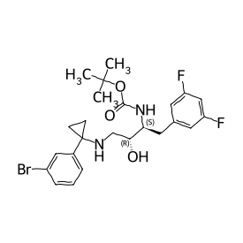 CC(C)(C)OC(=O)N[C@@H](Cc1cc(F)cc(F)c1)[C@H](O)CNC1(c2cccc(Br)c2)CC1